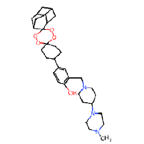 CN1CCN(C2CCN(Cc3cc(C4CCC5(CC4)OOC4(OO5)C5CC6CC(C5)CC4C6)ccc3O)CC2)CC1